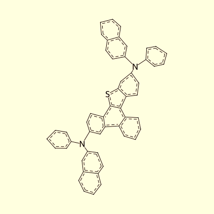 c1ccc(N(c2ccc3ccccc3c2)c2ccc3c(c2)sc2c4ccc(N(c5ccccc5)c5ccc6ccccc6c5)cc4c4ccccc4c32)cc1